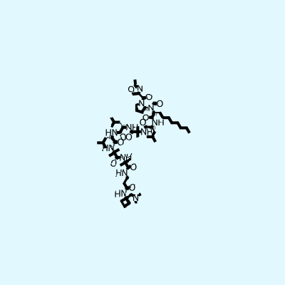 CCCCCCCC[C@@H](C(=O)N[C@@H](CC(C)C)C(=O)NC(C)(C)C(=O)N[C@@H](CC(C)C)C(=O)N[C@@H](CC(C)C)C(=O)NC(C)(C)C(=O)NC(C)(C)C(=O)NCCC(=O)NC1(CN(C)C)CCC1)N(C=O)[C@@H]1CCCN1C(=O)c1coc(C)n1